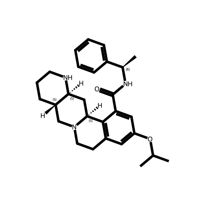 CC(C)Oc1cc2c(c(C(=O)N[C@H](C)c3ccccc3)c1)[C@@H]1C[C@@H]3NCCC[C@H]3CN1CC2